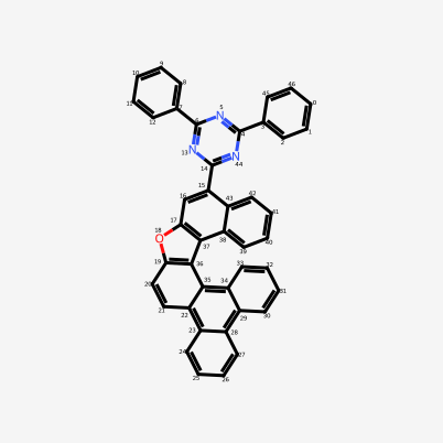 c1ccc(-c2nc(-c3ccccc3)nc(-c3cc4oc5ccc6c7ccccc7c7ccccc7c6c5c4c4ccccc34)n2)cc1